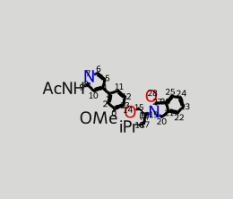 COc1cc(-c2ccnc(NC(C)=O)c2)ccc1OC[C@H](CC(C)C)N1Cc2ccccc2C1=O